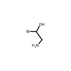 NCC(O)Br